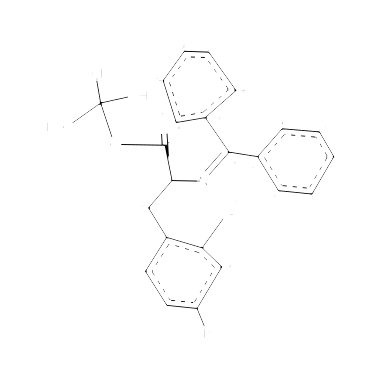 CC(C)(C)OC(=O)C(Cc1ccc(Br)cc1Br)N=C(c1ccccc1)c1ccccc1